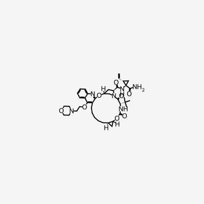 C=C[C@@H]1C[C@]1(NC(=O)[C@@H]1C[C@@H]2CN1C(=O)[C@H](C(C)(C)C)NC(=O)O[C@@H]1C[C@H]1CCCCCc1c(nc3ccccc3c1OCCN1CCOCC1)O2)C(N)=O